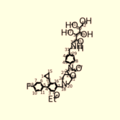 CCOc1cc(-c2ccc(F)cc2)c(C2CC2)cc1CN1CCC2(CC1)CN(c1ccc(CNC[C@H](O)[C@@H](O)[C@H](O)[C@H](O)CO)cc1)C(=O)O2